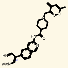 C=C1C=C(C)ON=C1CN1CCC(C(=O)Nc2cc3cc(/C(C=N)=C/NC)ccc3cn2)CC1